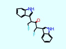 O=C(C(CF)c1c[nH]c2ccccc12)C(CF)c1c[nH]c2ccccc12